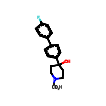 O=C(O)N1CCC(O)(c2ccc(-c3ccc(F)cc3)cc2)CC1